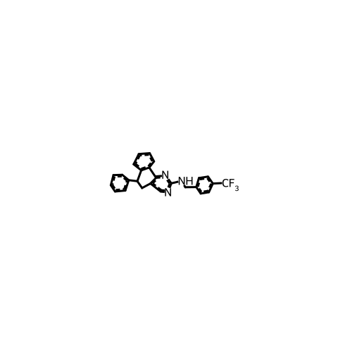 FC(F)(F)c1ccc(CNc2ncc3c(n2)-c2ccccc2C(c2ccccc2)C3)cc1